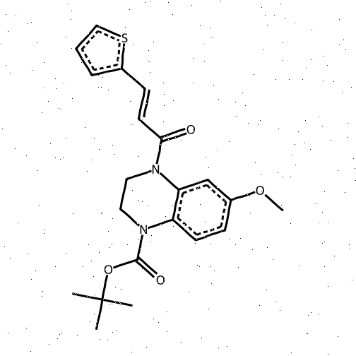 COc1ccc2c(c1)N(C(=O)C=Cc1cccs1)CCN2C(=O)OC(C)(C)C